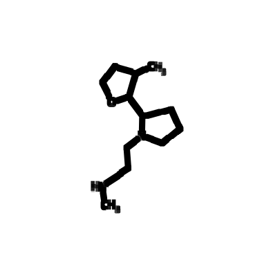 CNCCN1CCCC1C1OCCC1C